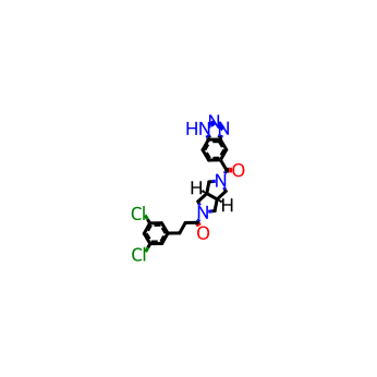 O=C(CCc1cc(Cl)cc(Cl)c1)N1C[C@@H]2CN(C(=O)c3ccc4[nH]nnc4c3)C[C@@H]2C1